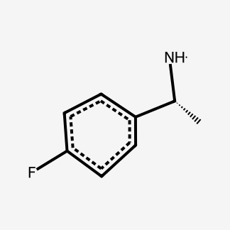 C[C@@H]([NH])c1ccc(F)cc1